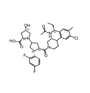 CC[C@H](NC(C)=O)c1cc(C)c(Cl)cc1C1CCN(C(=O)[C@@H]2CC(N3C[C@H](O)C[C@@H]3C(=O)O)C[C@H]2c2ccc(F)cc2F)CC1